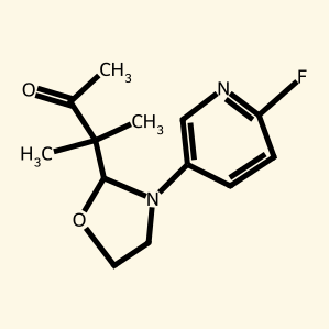 CC(=O)C(C)(C)C1OCCN1c1ccc(F)nc1